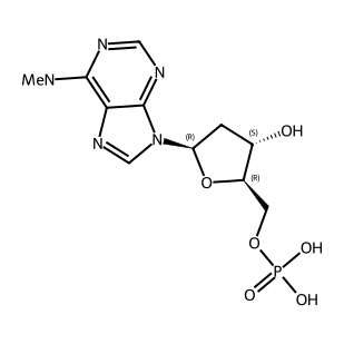 CNc1ncnc2c1ncn2[C@H]1C[C@H](O)[C@@H](COP(=O)(O)O)O1